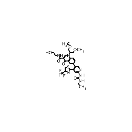 CCNC(=O)Nc1cc(-c2nc(C(F)(F)F)cs2)c(-c2ccc3c(c2)c(=O)c(C(=O)NCCO)cn3C(COC)COC)cn1